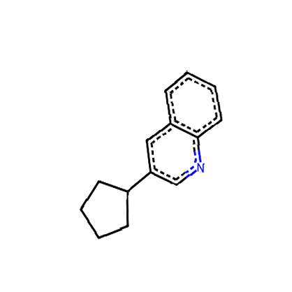 c1ccc2ncc(C3CCCC3)cc2c1